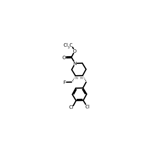 O=C(OC(Cl)(Cl)Cl)N1CC[C@H](Cc2ccc(Cl)c(Cl)c2)[C@H](CF)C1